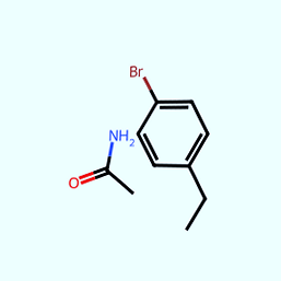 CC(N)=O.CCc1ccc(Br)cc1